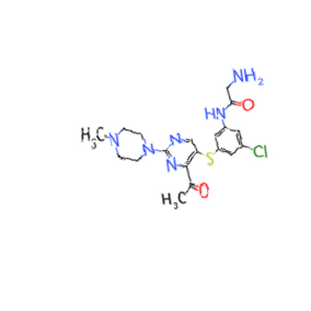 CC(=O)c1nc(N2CCN(C)CC2)ncc1Sc1cc(Cl)cc(NC(=O)CN)c1